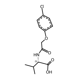 CC(C)[C@H](NC(=O)COc1ccc(Cl)cc1)C(=O)O